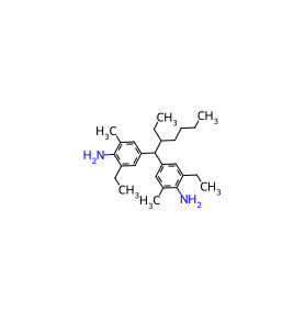 CCCCC(CC)C(c1cc(C)c(N)c(CC)c1)c1cc(C)c(N)c(CC)c1